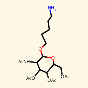 CC(=O)NC1C(OCCCCCN)OC(COC(C)=O)C(OC(C)=O)C1OC(C)=O